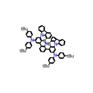 CC(C)(C)c1ccc(N(c2ccc(C(C)(C)C)cc2)c2cc3c4c(c2)-n2c5ccccc5c5cccc(c52)B4N2B4c5c(cc(N(c6ccc(C(C)(C)C)cc6)c6ccc(C(C)(C)C)cc6)cc5-n5c6ccccc6c6cccc4c65)-c4cccc-3c42)cc1